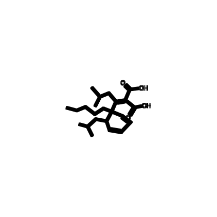 CCCCCC1(C(CC(C)C)=C(C(=O)O)C(=O)O)C=CC=CC1CC(C)C